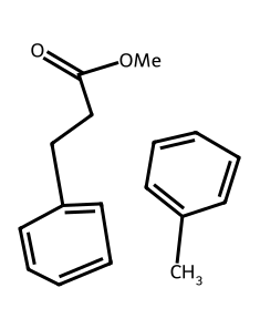 COC(=O)CCc1ccccc1.Cc1ccccc1